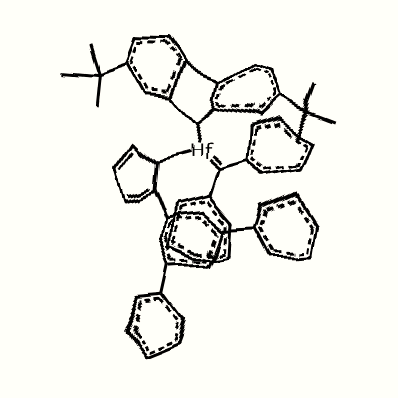 CC(C)(C)c1ccc2c(c1)[CH]([Hf](=[C](c1ccccc1)c1ccccc1)[CH]1C=CC=C1c1cc(-c3ccccc3)cc(-c3ccccc3)c1)c1cc(C(C)(C)C)ccc1-2